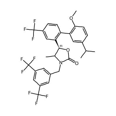 COc1ccc(C(C)C)cc1-c1ccc(C(F)(F)F)cc1[C@H]1OC(=O)N(Cc2cc(C(F)(F)F)cc(C(F)(F)F)c2)C1C